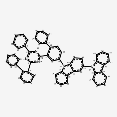 c1ccc(-c2nc(-c3ccccc3-c3ccccc3)nc(-c3cc(-n4c5ccccc5c5cc(-n6c7ccccc7c7ccccc76)ccc54)ccc3-c3ccccc3)n2)cc1